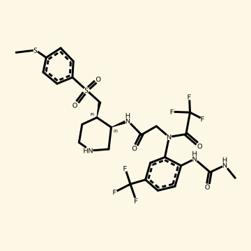 CNC(=O)Nc1ccc(C(F)(F)F)cc1N(CC(=O)N[C@H]1CNCC[C@H]1CS(=O)(=O)c1ccc(SC)cc1)C(=O)C(F)(F)F